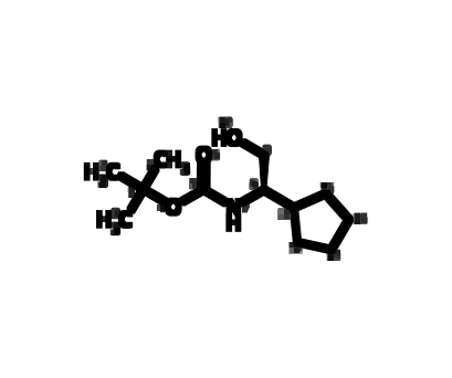 CC(C)(C)OC(=O)N[C@@H](CO)C1CCCC1